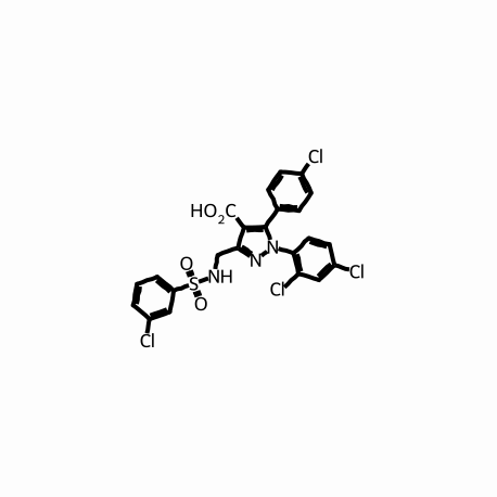 O=C(O)c1c(CNS(=O)(=O)c2cccc(Cl)c2)nn(-c2ccc(Cl)cc2Cl)c1-c1ccc(Cl)cc1